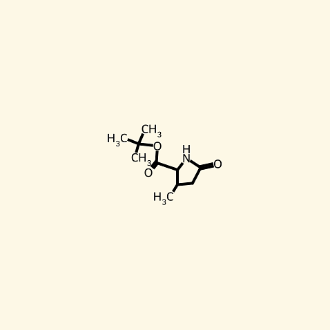 CC1CC(=O)NC1C(=O)OC(C)(C)C